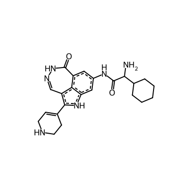 NC(C(=O)Nc1cc2c3c(c(C4=CCNCC4)[nH]c3c1)C=NNC2=O)C1CCCCC1